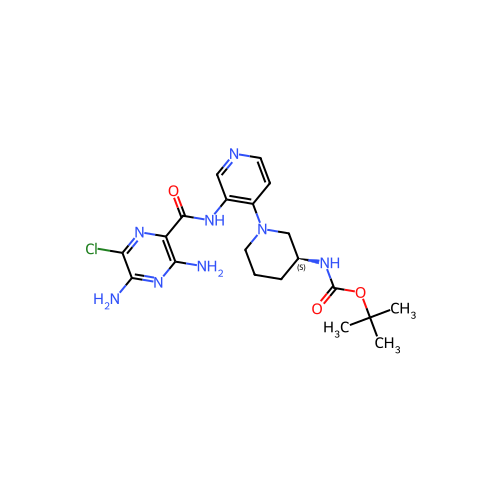 CC(C)(C)OC(=O)N[C@H]1CCCN(c2ccncc2NC(=O)c2nc(Cl)c(N)nc2N)C1